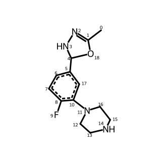 CC1=NNC(c2ccc(F)c(N3CCNCC3)c2)O1